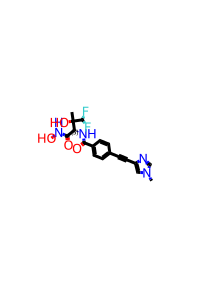 Cn1cnc(C#Cc2ccc(C(=O)N[C@H](C(=O)NO)C(C)(O)C(F)F)cc2)c1